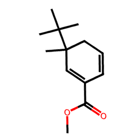 COC(=O)C1=CC(C)(C(C)(C)C)CC=C1